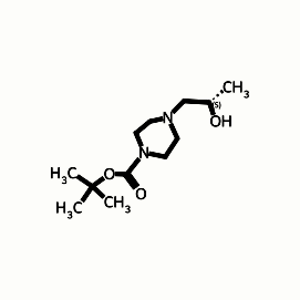 C[C@H](O)CN1CCN(C(=O)OC(C)(C)C)CC1